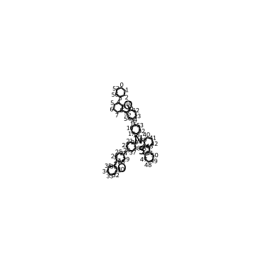 c1ccc(-c2cccc3c2oc2ccc(-c4ccc(N(c5ccc(-c6ccc7c(c6)oc6ccccc67)cc5)c5cccc6c5sc5ccccc56)cc4)cc23)cc1